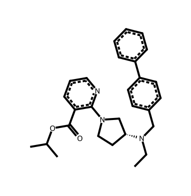 CCN(Cc1ccc(-c2ccccc2)cc1)[C@@H]1CCN(c2ncccc2C(=O)OC(C)C)C1